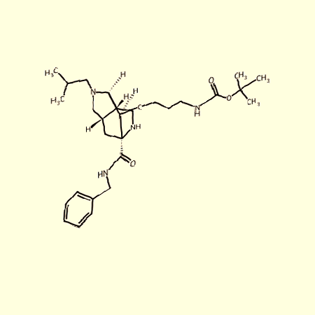 CC(C)CN1C[C@H]2C[C@]3(C(=O)NCc4ccccc4)NC[C@H]2[C@H]1[C@H]3CCCCNC(=O)OC(C)(C)C